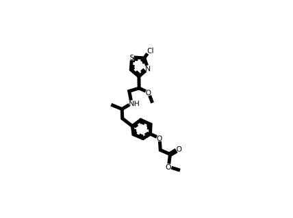 COC(=O)COc1ccc(CC(C)NCC(OC)c2csc(Cl)n2)cc1